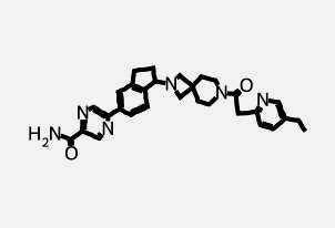 CCc1ccc(CC(=O)N2CCC3(CC2)CN(C2CCc4cc(-c5cnc(C(N)=O)cn5)ccc42)C3)nc1